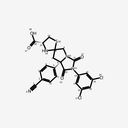 N#Cc1ccc([C@]23CC4(CN2C(=O)N(c2cc(Cl)cc(Cl)c2)C3=O)N[C@H](C(=O)O)CS4)cc1